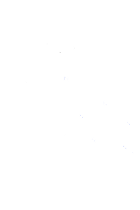 CC(C)(C)CNCCn1c(Sc2cc3c(cc2-c2cccs2)OCO3)nc2c(N)ncnc21